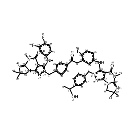 CC(O)c1ccc(Cn2nc3c(c2Nc2ccc(F)c(CC(=O)c4ccc(Cn5nc6c(c5Nc5ccc(F)c(F)c5)C(=O)N(C)C5=NC(C)(C)CN56)cc4)c2)C(=O)N(C)C2=NC(C)(C)CN23)cc1